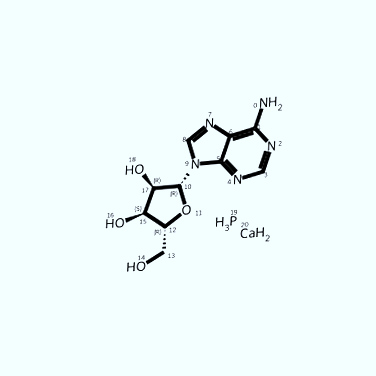 Nc1ncnc2c1ncn2[C@@H]1O[C@H](CO)[C@@H](O)[C@H]1O.P.[CaH2]